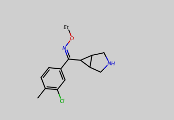 CCON=C(c1ccc(C)c(Cl)c1)C1C2CNCC21